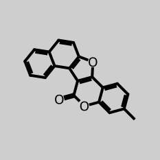 Cc1ccc2c(c1)oc(=O)c1c2oc2ccc3ccccc3c21